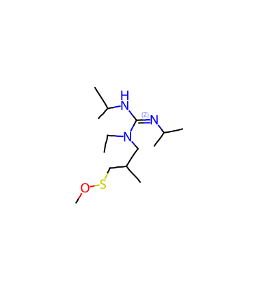 CCN(CC(C)CSOC)/C(=N\C(C)C)NC(C)C